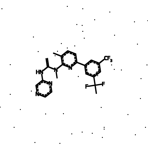 C=C(Nc1cnccn1)N(C)c1nc(-c2cc(C(C)(F)F)cc(C(F)(F)F)c2)ccc1C